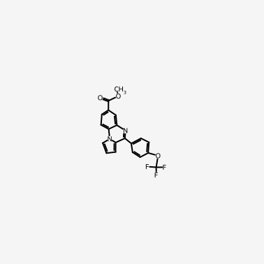 COC(=O)c1ccc2c(c1)nc(-c1ccc(OC(F)(F)F)cc1)c1cccn12